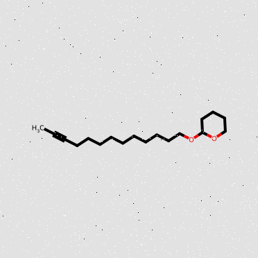 CC#CCCCCCCCCCCOC1CCCCO1